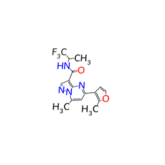 Cc1occc1-c1cc(C)n2ncc(C(=O)NC(C)C(F)(F)F)c2n1